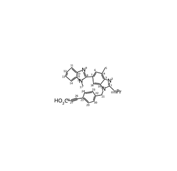 CCCc1nc2c(C)cc(-c3nc4ccccc4n3C)cc2n1Cc1ccc(C#CC(=O)O)cc1